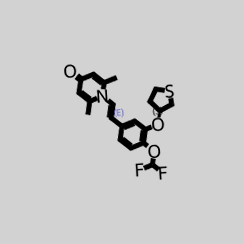 Cc1cc(=O)cc(C)n1/C=C/c1ccc(OC(F)F)c(O[C@H]2CCSC2)c1